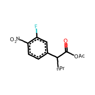 CCCC(C(=O)OC(C)=O)c1ccc([N+](=O)[O-])c(F)c1